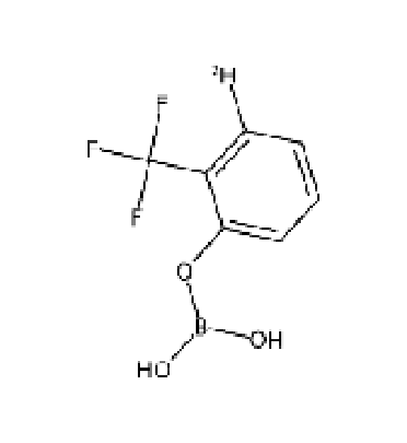 [2H]c1cccc(OB(O)O)c1C(F)(F)F